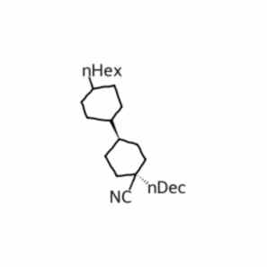 CCCCCCCCCC[C@]1(C#N)CC[C@@H](C2CCC(CCCCCC)CC2)CC1